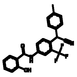 Cc1ccc(C(C#N)c2ccc(NC(=O)c3ccccc3O)cc2C(F)(F)F)cc1